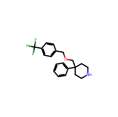 FC(F)(F)c1ccc(COCC2(c3ccccc3)CCNCC2)cc1